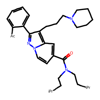 CC(=O)c1ccccc1-c1nn2ccc(C(=O)N(CCC(C)C)CCC(C)C)cc2c1CCCN1CCCCC1